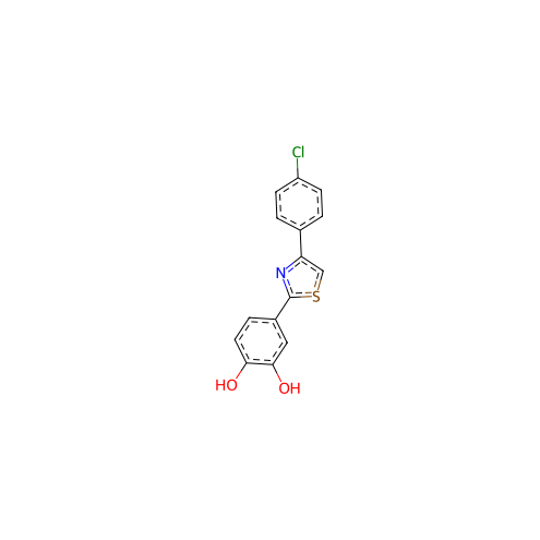 Oc1ccc(-c2nc(-c3ccc(Cl)cc3)cs2)cc1O